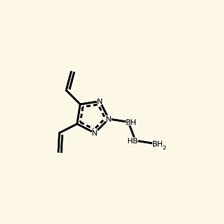 BBBn1nc(C=C)c(C=C)n1